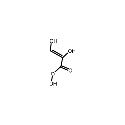 O=C(OO)C(O)=CO